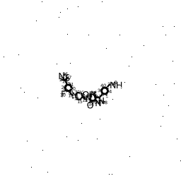 CNCc1ccc(-c2c3ncn(CC4(O)CCN(Cc5ccc(-c6cncs6)cc5F)CC4)c(=O)c3nn2C)cc1